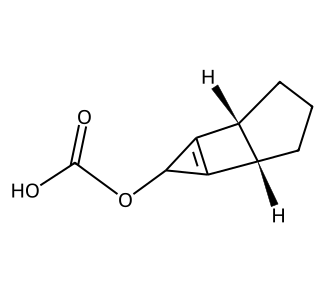 O=C(O)OC1C2=C1[C@@H]1CCC[C@H]21